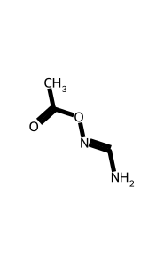 CC(=O)ON=CN